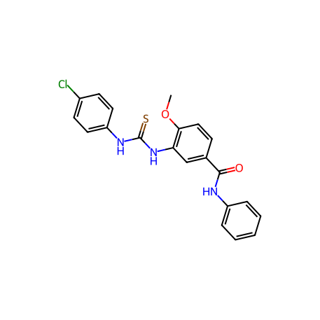 COc1ccc(C(=O)Nc2ccccc2)cc1NC(=S)Nc1ccc(Cl)cc1